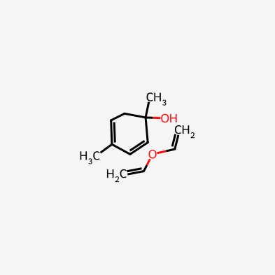 C=COC=C.CC1=CCC(C)(O)C=C1